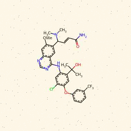 COc1cc2ncnc(Nc3cc(Cl)c(Oc4cccc(C(F)(F)F)c4)cc3C(C)(C)O)c2cc1C(C=CC(N)=O)N(C)C